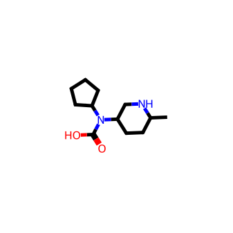 CC1CCC(N(C(=O)O)C2CCCC2)CN1